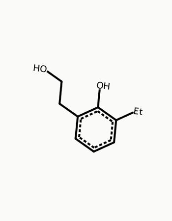 CCc1cccc(CCO)c1O